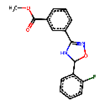 COC(=O)c1cccc(C2=NOC(c3ccccc3F)N2)c1